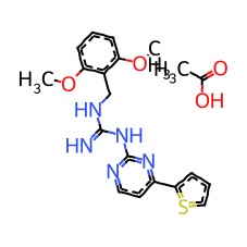 CC(=O)O.COc1cccc(OC)c1CNC(=N)Nc1nccc(-c2cccs2)n1